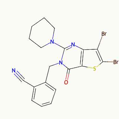 N#Cc1ccccc1Cn1c(N2CCCCC2)nc2c(Br)c(Br)sc2c1=O